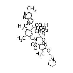 Cc1cc2cc(C(c3ccc(C)c(CN4CC5(CCOCC5)Oc5nc(OCCN6CCCCC6)c(C)cc5S4(=O)=O)c3)C(C)(C)C(=O)O)n(C)c2nn1